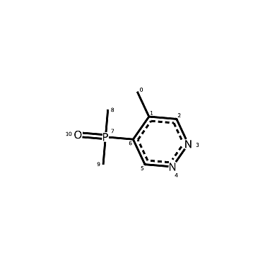 Cc1cnncc1P(C)(C)=O